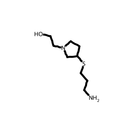 NCCCSC1CCN(CCO)C1